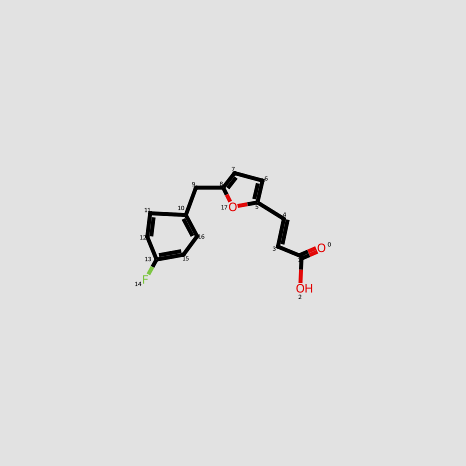 O=C(O)C=Cc1ccc(Cc2ccc(F)cc2)o1